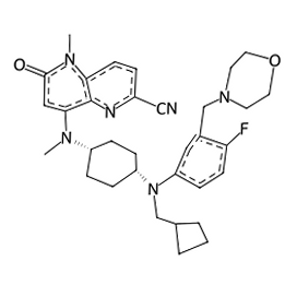 Cn1c(=O)cc(N(C)[C@H]2CC[C@@H](N(CC3CCC3)c3ccc(F)c(CN4CCOCC4)c3)CC2)c2nc(C#N)ccc21